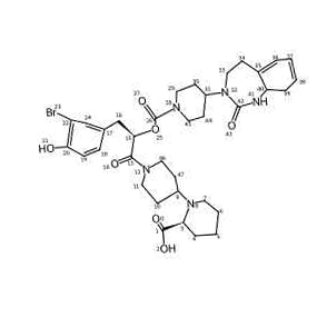 O=C(O)[C@@H]1CCCCN1C1CCN(C(=O)[C@@H](Cc2ccc(O)c(Br)c2)OC(=O)N2CCC(N3CCC4=CC=CCC4NC3=O)CC2)CC1